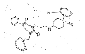 N#Cc1ccccc1[C@]1(C#N)CC[C@H](NCCCn2c(=O)c(-c3ccccc3)cn(Cc3ccccc3)c2=O)CC1